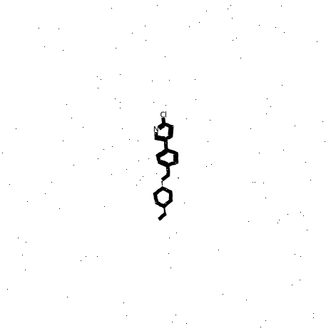 CC[C@H]1CC[C@H](CCc2ccc(-c3ccc(Cl)nc3)cc2)CC1